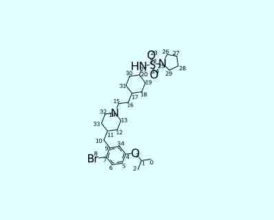 CC(C)Oc1ccc(Br)c(CC2CCN(CCC3CCC(NS(=O)(=O)N4CCCC4)CC3)CC2)c1